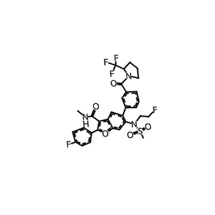 CNC(=O)c1c(-c2ccc(F)cc2)oc2cc(N(CCF)S(C)(=O)=O)c(-c3cccc(C(=O)N4CCCC4C(F)(F)F)c3)cc12